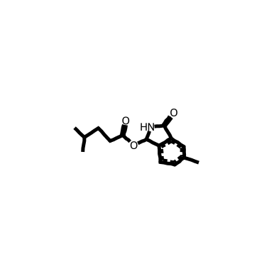 Cc1ccc2c(c1)C(=O)NC2OC(=O)CCC(C)C